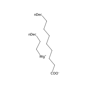 CCCCCCCCCCCCCCCCCC(=O)[O-].CCCCCCCCCCC[CH2][Mg+]